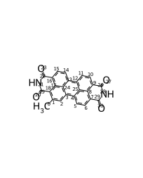 Cc1cc2c3ccc4c5c(ccc(c6ccc7c(c1C(=O)NC7=O)c62)c53)C(=O)NC4=O